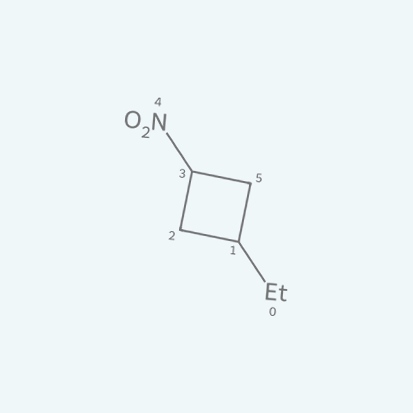 CCC1CC([N+](=O)[O-])C1